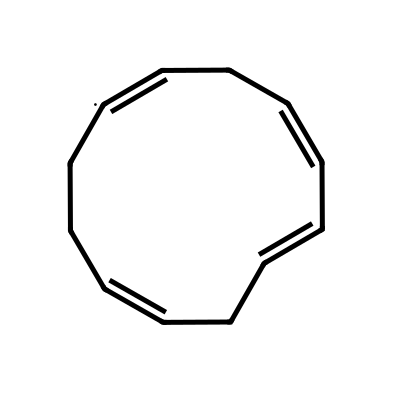 [C]1=C\C/C=C\C=C\C/C=C\CC/1